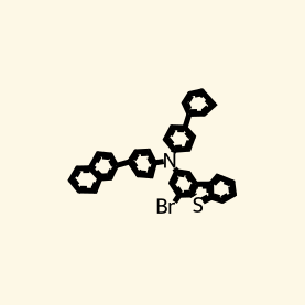 Brc1cc(N(c2ccc(-c3ccccc3)cc2)c2ccc(-c3ccc4ccccc4c3)cc2)cc2c1sc1ccccc12